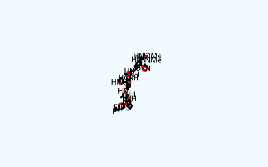 CNC1NC(Nc2cc3c(c(C4=CCN(C)CCC4)c2F)OC(CNC2CC(C)NC(Nc4cc5c(c(C6=CCNCCC6)c4O)OC(CNC4CC(C)NC(Nc6cc7c(c(C8=CCN(CC(F)F)CCC8)c6F)OCC7)N4)C5)N2)C3)NC(C)C1OC